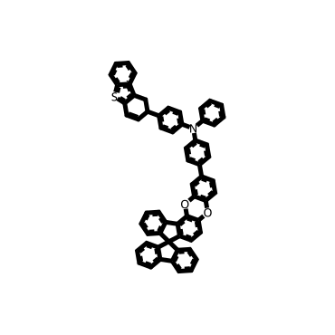 C1=CC(c2ccc(N(c3ccccc3)c3ccc(-c4ccc5c(c4)Oc4c(ccc6c4-c4ccccc4C64c6ccccc6-c6ccccc64)O5)cc3)cc2)Cc2c1sc1ccccc21